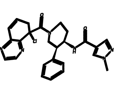 Cn1cc(C(=O)N[C@@H]2CCN(C(=O)C3(Cl)CC=Cc4nccnc43)C[C@@H]2c2ccccc2)cn1